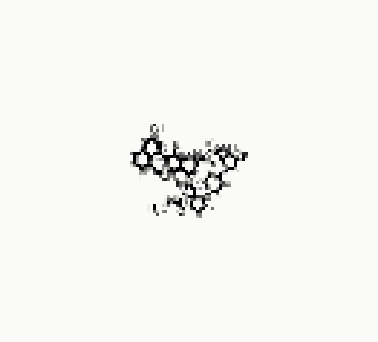 C#Cc1c(F)ccc2cc(O)cc(-c3ncc4c(NCC5(N(C)C(=O)C=C)CCCC5)nc(OC[C@]5(C(C)(C)O)C[C@@H](F)CN5C5CCOCC5)nc4c3F)c12